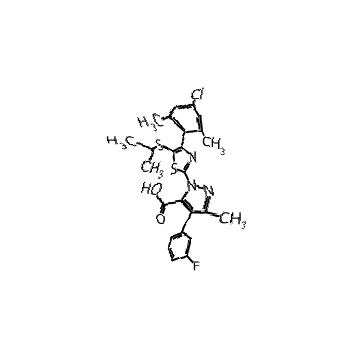 Cc1cc(Cl)cc(C)c1-c1nc(-n2nc(C)c(-c3cccc(F)c3)c2C(=O)O)sc1SC(C)C